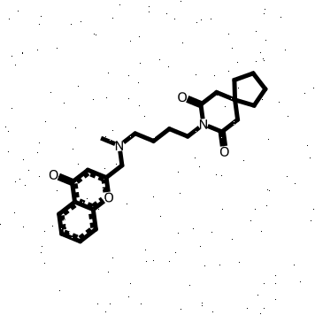 CN(CCCCN1C(=O)CC2(CCCC2)CC1=O)Cc1cc(=O)c2ccccc2o1